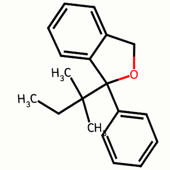 CCC(C)(C)C1(c2ccccc2)OCc2ccccc21